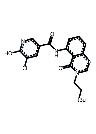 CC(C)(C)CCn1cnc2cccc(NC(=O)c3cnc(O)c(Cl)c3)c2c1=O